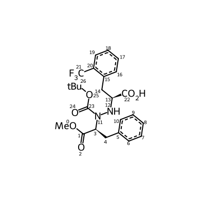 COC(=O)[C@H](Cc1ccccc1)N(N[C@@H](Cc1ccccc1C(F)(F)F)C(=O)O)C(=O)OC(C)(C)C